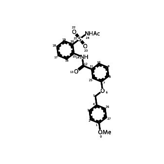 COc1ccc(COc2cccc(C(=O)Nc3ccccc3S(=O)(=O)NC(C)=O)c2)cc1